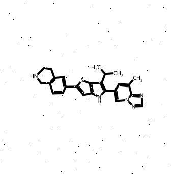 Cc1cc(-c2[nH]c3cc(-c4ccc5c(c4)CCNC5)sc3c2C(C)C)cn2ncnc12